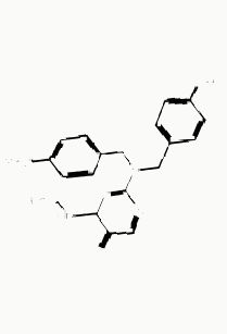 CCCC(C)NC1N=C(N(Cc2ccc(OC)cc2)Cc2ccc(OC)cc2)N=CC1=O